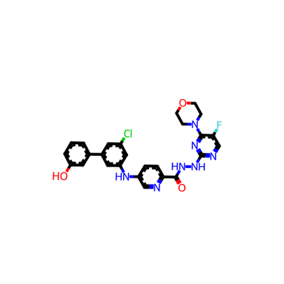 O=C(NNc1ncc(F)c(N2CCOCC2)n1)c1ccc(Nc2cc(Cl)cc(-c3cccc(O)c3)c2)cn1